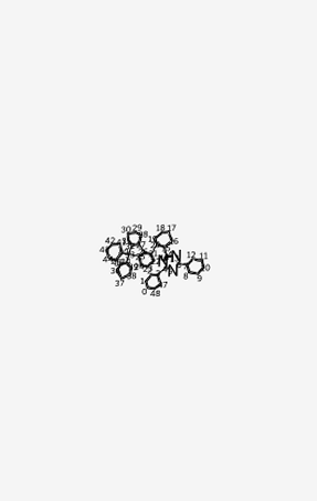 c1ccc(-c2nc(-c3ccccc3)nc(-c3ccccc3-c3cccc4c3-c3ccccc3C4(c3ccccc3)c3ccccc3)n2)cc1